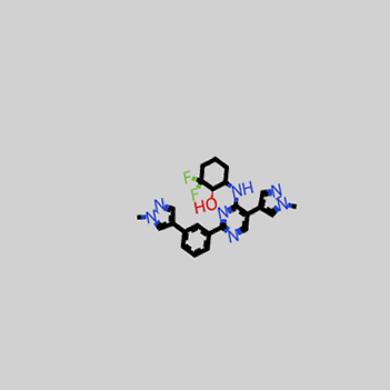 Cn1cc(-c2cccc(-c3ncc(-c4cnn(C)c4)c(NC4CCCC(F)(F)[C@H]4O)n3)c2)cn1